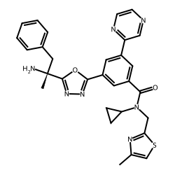 Cc1csc(CN(C(=O)c2cc(-c3cnccn3)cc(-c3nnc([C@](C)(N)Cc4ccccc4)o3)c2)C2CC2)n1